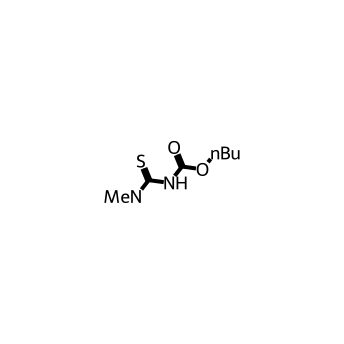 CCCCOC(=O)NC(=S)NC